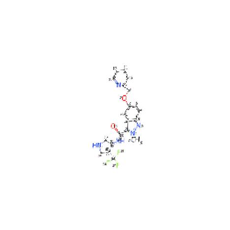 Cn1nc2ccc(OCc3ccccn3)cc2c1C(=O)N[C@@H]1CNC[C@H]1C(F)(F)F